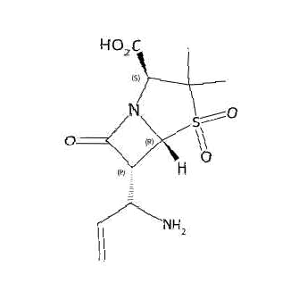 C=CC(N)[C@@H]1C(=O)N2[C@@H](C(=O)O)C(C)(C)S(=O)(=O)[C@H]12